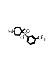 CC1(S(=O)(=O)c2cccc(C(F)(F)F)c2)CCNCC1